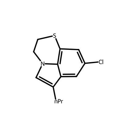 CCCc1cn2c3c(cc(Cl)cc13)SCC2